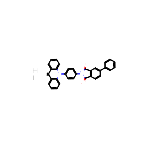 CC1(C)c2ccccc2N(c2ccc(N3C(=O)c4ccc(-c5ccccc5)cc4C3=O)cc2)c2ccccc21